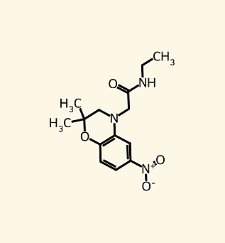 CCNC(=O)CN1CC(C)(C)Oc2ccc([N+](=O)[O-])cc21